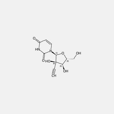 C#C[C@@]1(O)[C@H](O)[C@@H](CO)O[C@@H]1n1ccc(=O)[nH]c1=O